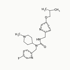 CC(C)COc1ccc(CNC(=O)N(Cc2ccc(F)cn2)C2CCN(C)CC2)nc1